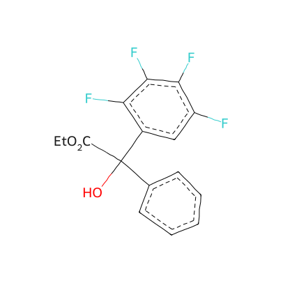 CCOC(=O)C(O)(c1ccccc1)c1cc(F)c(F)c(F)c1F